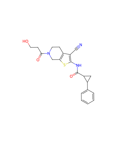 N#Cc1c(NC(=O)C2CC2c2ccccc2)sc2c1CCN(C(=O)CCO)C2